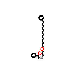 CC(C)(C)CC(COCCCCCCCCCCCCCc1ccccc1)OCc1ccccc1